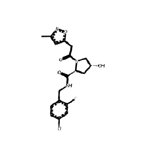 Cc1cc(CC(=O)N2C[C@H](O)C[C@H]2C(=O)NCc2ccc(Cl)cc2F)on1